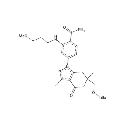 CCCCOCC1(C)CC(=O)c2c(C)nn(-c3ccc(C(N)=O)c(NCCCOC)c3)c2C1